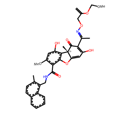 C=C(CON=C(C)C1=C(O)C=C2Oc3c(C(=O)NCc4c(C)ccc5ccccc45)c(OC)cc(O)c3[C@]2(C)C1=O)OCOC